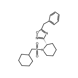 O=S(=O)(CC1CCCCC1)N1CCCC[C@H]1c1noc(Cc2ccccc2)n1